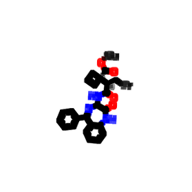 CC(C)C[C@@H](C(=O)NC1N=C(c2ccccc2)c2ccccc2NC1=O)[C@@]1(C(=O)OC(C)(C)C)C=CC1